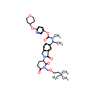 CC(c1ccc2c(c1)C(=O)N(C1CCC(=O)N(COCC[Si](C)(C)C)C1=O)C2)N(C)C(=O)Oc1ccc(OC2CCOCC2)nc1